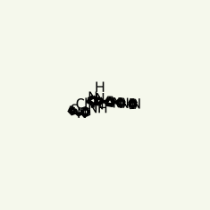 Clc1cnc2[nH]c(-c3ccc(N4CCN(c5ccncc5)CC4)cc3)nc2c1NC1CCN(Cc2cccs2)CC1